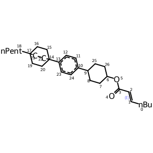 CCCC/C=C/C(=O)OC1CCC(c2ccc(C34CCC(CCCCC)(CC3)CC4)cc2)CC1